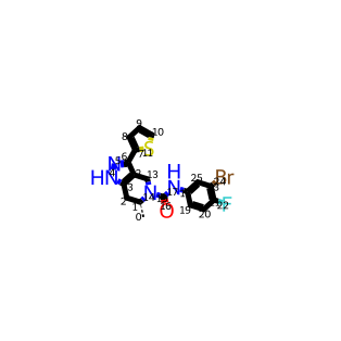 C[C@@H]1Cc2[nH]nc(-c3cccs3)c2CN1C(=O)Nc1ccc(F)c(Br)c1